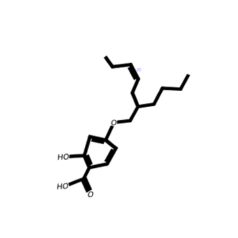 CC/C=C\CC(CCCC)COc1ccc(C(=O)O)c(O)c1